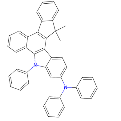 CC1(C)c2ccccc2-c2c1c1c3ccc(N(c4ccccc4)c4ccccc4)cc3n(-c3ccccc3)c1c1ccccc21